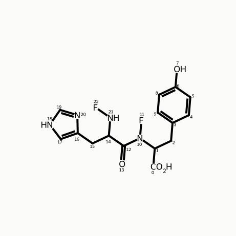 O=C(O)C(Cc1ccc(O)cc1)N(F)C(=O)C(Cc1c[nH]cn1)NF